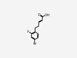 O=C(O)C=CCCc1ccc(Br)cc1F